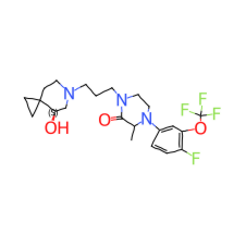 CC1C(=O)N(CCCN2CCC3(CC3)[C@H](O)C2)CCN1c1ccc(F)c(OC(F)(F)F)c1